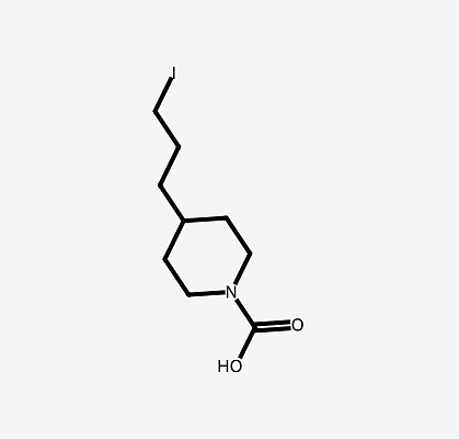 O=C(O)N1CCC(CCCI)CC1